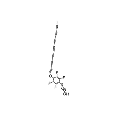 CC#CC#CC#CC#CC#CC#CC#COc1c(F)c(F)c(SOOO)c(F)c1F